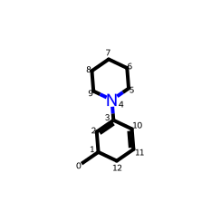 CC1C=C(N2CCCCC2)C=CC1